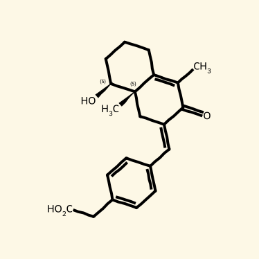 CC1=C2CCC[C@H](O)[C@@]2(C)CC(=Cc2ccc(CC(=O)O)cc2)C1=O